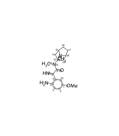 COc1ccc(N)c(C(=N)C(=O)N(C)C2CC3CCC(C2)N3C)c1